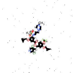 CN1CCN(CCCN(c2cc(OCC3CC3)cc(C(=O)O[C@@H](Cc3c(Cl)cncc3Cl)c3ccc(OC(F)F)c(OCC4CC4)c3)c2)S(C)(=O)=O)CC1